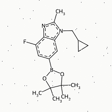 Cc1nc2c(F)cc(B3OC(C)(C)C(C)(C)O3)cc2n1CC1CC1